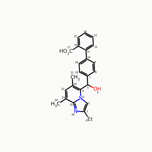 CCc1cn2c(C(O)c3ccc(-c4ccccc4C(=O)O)cc3)c(C)cc(C)c2n1